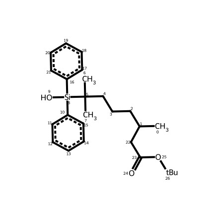 CC(CCCC(C)(C)[Si](O)(c1ccccc1)c1ccccc1)CC(=O)OC(C)(C)C